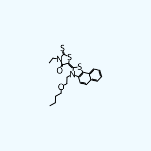 CCCCOCCN1/C(=C2/SC(=S)N(CC)C2=O)Sc2c1ccc1ccccc21